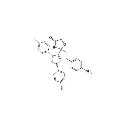 Nc1ccc(CCC2(c3cn(-c4ccc(Br)cc4)cc3-c3ccc(F)cc3)NC(=O)CO2)cc1